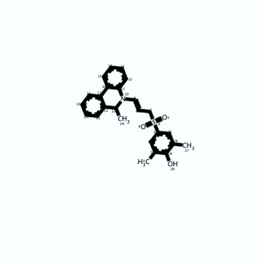 Cc1cc(S(=O)(=O)CC=CN2c3ccccc3-c3ccccc3C2C)cc(C)c1O